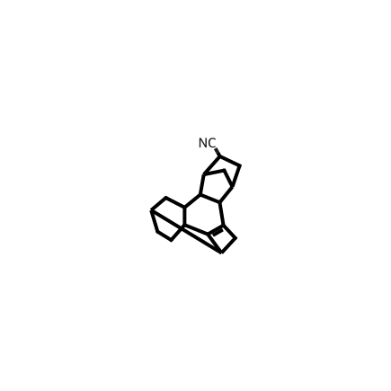 N#CC1CC2CC1C1C3CC4CCC3C3=C(CC34)C21